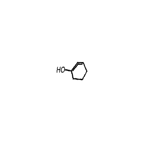 OC1=C=CCCC1